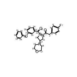 O=C(Cc1ccc(F)cc1)N1CC(N2CCOCC2)CN1C(=O)c1cccc(Oc2ccccc2)c1